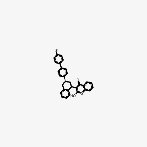 O=c1c(C2C[C@H](c3ccc(-c4ccc(Br)cc4)cc3)Cc3ccccc32)c(O)sc2ccccc12